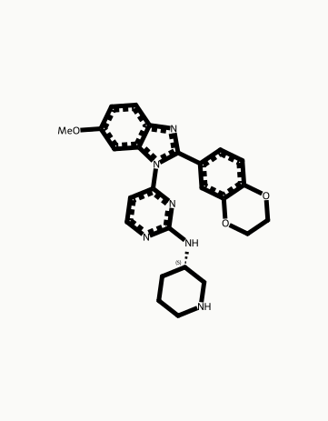 COc1ccc2nc(-c3ccc4c(c3)OCCO4)n(-c3ccnc(N[C@H]4CCCNC4)n3)c2c1